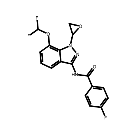 O=C(Nc1nn(C2CO2)c2c(OC(F)F)cccc12)c1ccc(F)cc1